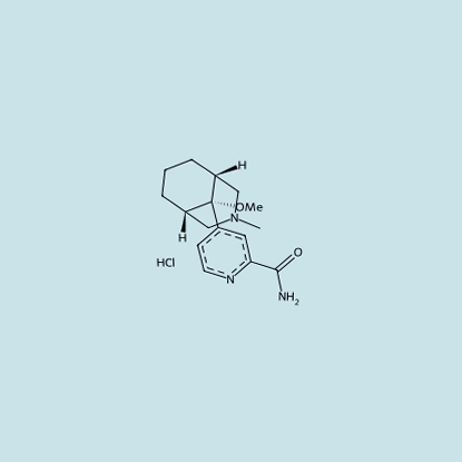 CO[C@@]1(c2ccnc(C(N)=O)c2)[C@@H]2CCC[C@H]1CN(C)C2.Cl